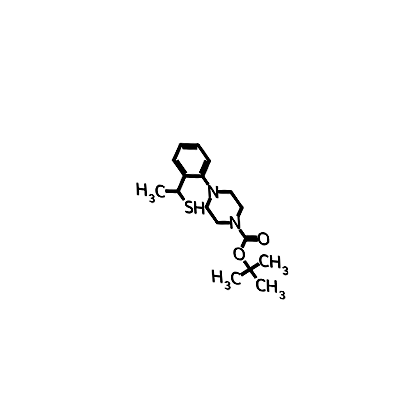 CC(S)c1ccccc1N1CCN(C(=O)OC(C)(C)C)CC1